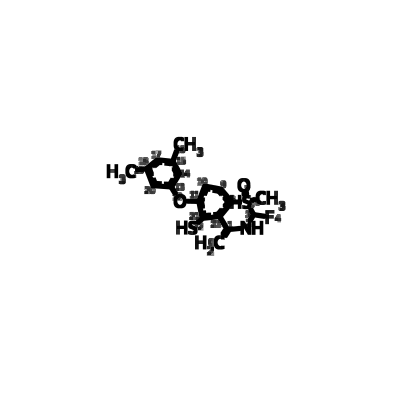 C=C1NC(F)[SH](C)(=O)c2ccc(Oc3cc(C)cc(C)c3)c(S)c21